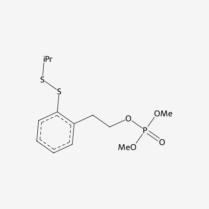 COP(=O)(OC)OCCc1ccccc1SSC(C)C